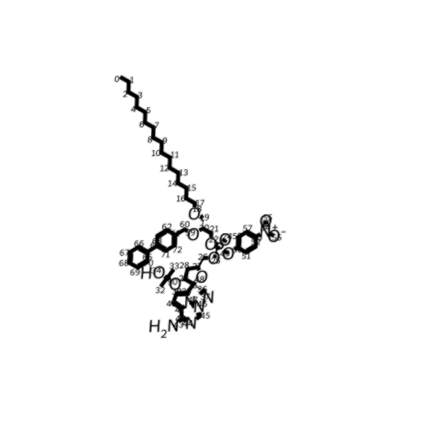 CCCCCCCCCCCCCCCCCCOC[C@H](COP(=O)(OC[C@@H]1C[C@@H](OC(C)(C)O)[C@](C#N)(c2ccc3c(N)ncnn23)O1)Oc1ccc([N+](=O)[O-])cc1)OCc1ccc(-c2ccccc2)cc1